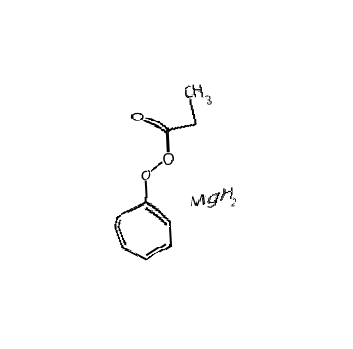 CCC(=O)OOc1ccccc1.[MgH2]